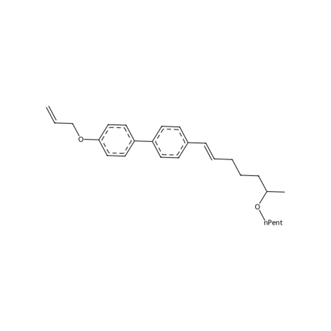 C=CCOc1ccc(-c2ccc(C=CCCCC(C)OCCCCC)cc2)cc1